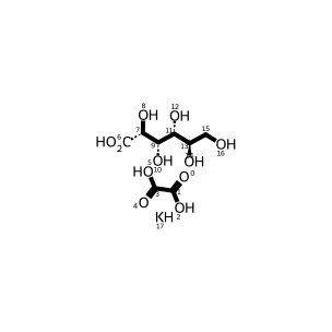 O=C(O)C(=O)O.O=C(O)[C@H](O)[C@@H](O)[C@H](O)[C@H](O)CO.[KH]